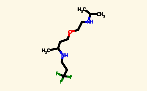 CC(C)NCCOCCC(C)NCCC(F)(F)F